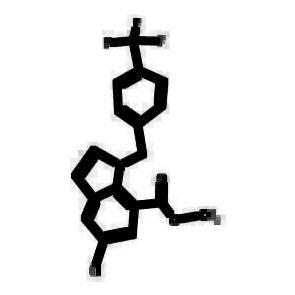 COC(=O)c1cc(Cl)cc2ccn(Cc3ccc(C(F)(F)F)cc3)c12